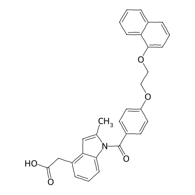 Cc1cc2c(CC(=O)O)cccc2n1C(=O)c1ccc(OCCOc2cccc3ccccc23)cc1